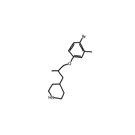 Cc1cc(OCC(C)CC2CCNCC2)ccc1Br